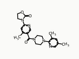 Cc1cnc(N2CCN(C(=O)c3cnc(N4CCOC4=O)cc3C)CC2)c(C)c1